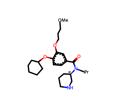 COCCCOc1cc(C(=O)N(C(C)C)[C@@H]2CCCNC2)ccc1OC1CCCCC1